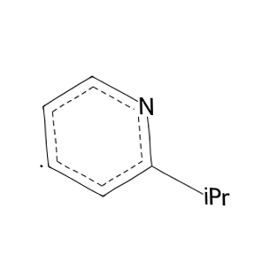 CC(C)c1c[c]ccn1